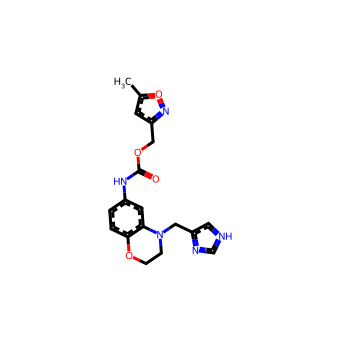 Cc1cc(COC(=O)Nc2ccc3c(c2)N(Cc2c[nH]cn2)CCO3)no1